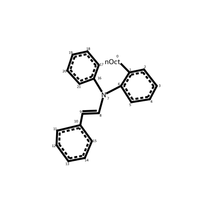 CCCCCCCCc1ccccc1N(C=Cc1ccccc1)c1ccccc1